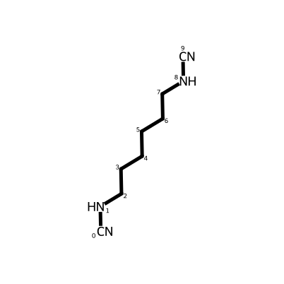 N#CNCCCCCCNC#N